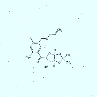 C=CCOCc1cc(C(=O)[C@@H]2O[C@H]3OC(C)(C)O[C@H]3[C@@H]2O)c(C)cc1Cl